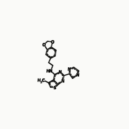 Cc1csc2nc(-c3cnccn3)nc(NCCc3ccc4c(c3)OCO4)c12